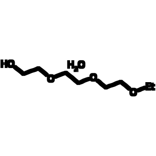 CCOCCOCCOCCO.O